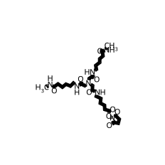 CNC(=O)CCCCCNC(=O)CN(CC(=O)NCCCCCC(=O)NC)CC(=O)NCCCCCC(=O)ON1C(=O)CCC1=O